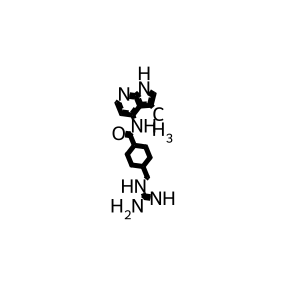 Cc1c[nH]c2nccc(NC(=O)C3CCC(CNC(=N)N)CC3)c12